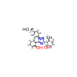 Cc1cccc(O)c1-c1nc(-c2ccccc2O)n(-c2ccc(C(=O)O)cc2)n1